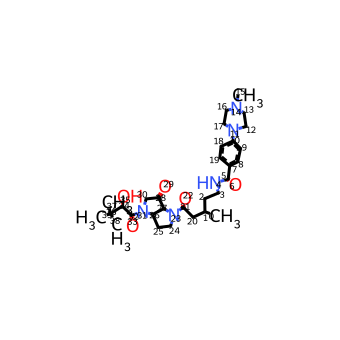 CC(CCNC(=O)c1ccc(N2CCN(C)CC2)cc1)CC(=O)N1CCC2C1C(=O)CN2C(=O)C(O)C(C)(C)C